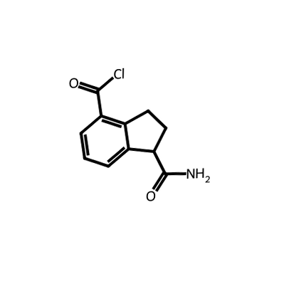 NC(=O)C1CCc2c(C(=O)Cl)cccc21